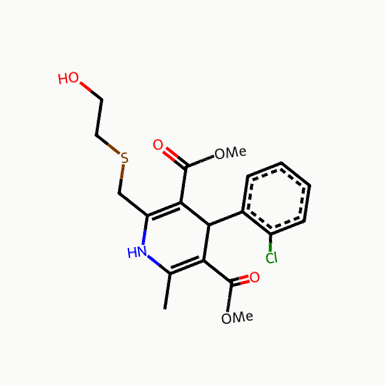 COC(=O)C1=C(C)NC(CSCCO)=C(C(=O)OC)C1c1ccccc1Cl